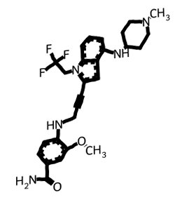 COc1cc(C(N)=O)ccc1NCC#Cc1cc2c(NC3CCN(C)CC3)cccc2n1CC(F)(F)F